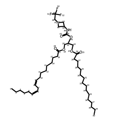 CCCCC/C=C\C/C=C\CCCCCCCC(=O)OCC(COC(=O)CCCCCCCCCCCCCCC)OC(=O)NC1CN(CC(F)(F)F)C1